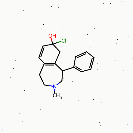 CN1CCC2=C(CC(O)(Cl)C=C2)C(c2ccccc2)C1